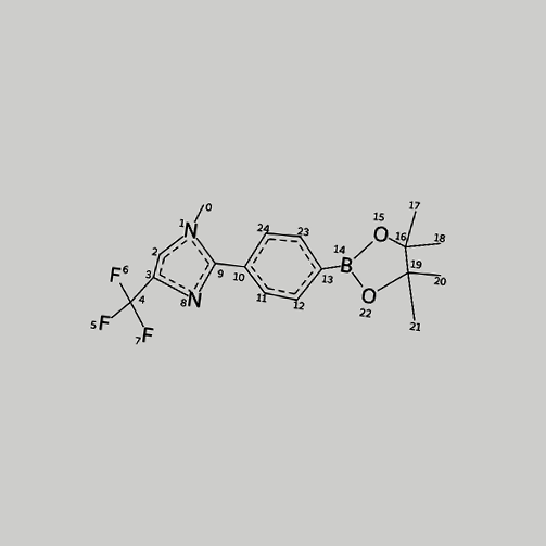 Cn1cc(C(F)(F)F)nc1-c1ccc(B2OC(C)(C)C(C)(C)O2)cc1